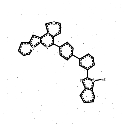 CCn1c(-c2cccc(-c3ccc(-c4nc5c(cc6ccccn65)c5ccccc45)cc3)c2)nc2ccccc21